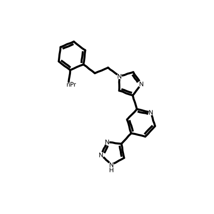 CCCc1ccccc1CCn1cnc(-c2cc(-c3c[nH]nn3)ccn2)c1